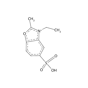 CC[n+]1c(C)oc2ccc(S(=O)(=O)O)cc21